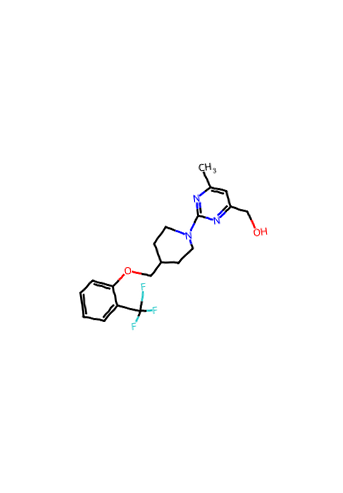 Cc1cc(CO)nc(N2CCC(COc3ccccc3C(F)(F)F)CC2)n1